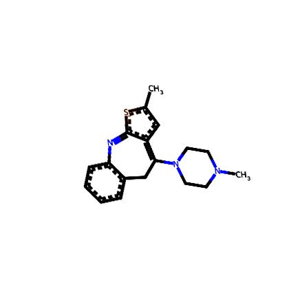 Cc1cc2c(s1)=Nc1ccccc1CC=2N1CCN(C)CC1